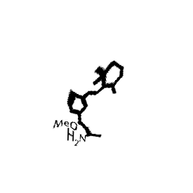 COC(CC(C)N)c1cccc(C=CC2=C(C)CCCC2(C)C)c1